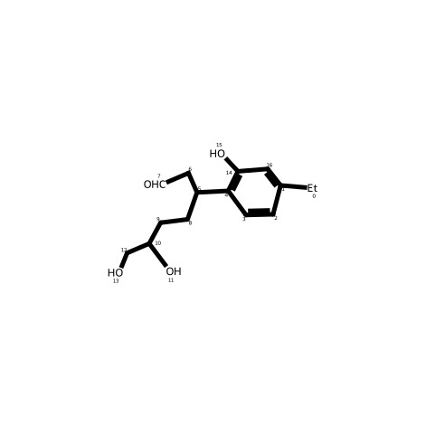 CCc1ccc(C(CC=O)CCC(O)CO)c(O)c1